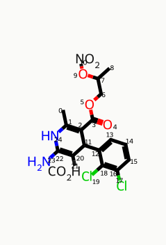 CC1=C(C(=O)OCC(C)O[N+](=O)[O-])C(c2cccc(Cl)c2Cl)C(C(=O)O)=C(N)N1